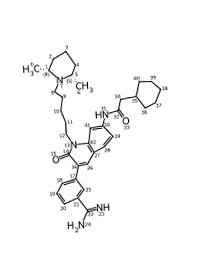 C[C@@H]1CCC[C@H](C)N1CCCCCn1c(=O)c(-c2cccc(C(=N)N)c2)cc2ccc(NC(=O)CC3CCCCC3)cc21